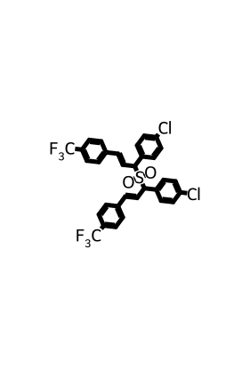 O=S(=O)(C(C=Cc1ccc(C(F)(F)F)cc1)c1ccc(Cl)cc1)C(C=Cc1ccc(C(F)(F)F)cc1)c1ccc(Cl)cc1